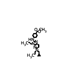 CCCN(CC1CC1)c1ccc2nc(Nc3ccc(C(=O)OC)cc3)n(CCC)c2n1